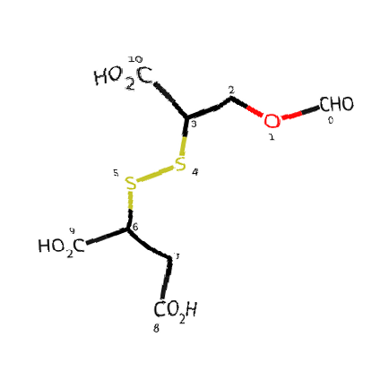 O=COCC(SSC(CC(=O)O)C(=O)O)C(=O)O